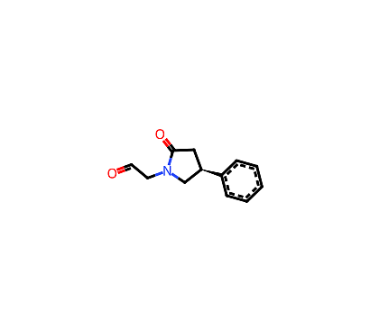 O=CCN1C[C@H](c2ccccc2)CC1=O